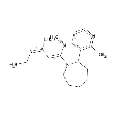 C=N/C(=C\C(C)=N/CN)N1CCCCCC1c1cccnc1C